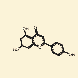 O=c1cc(-c2ccc(O)cc2)oc2c1=C(O)CC(O)C=2